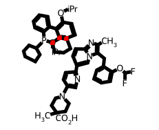 CC(C)Oc1cccc(OC(C)C)c1-c1ccccc1P(C1CCCCC1)C1CCCCC1.Cc1nc2ccc(-c3ccc(N4CCC(C)(C(=O)O)CC4)cn3)cn2c1Cc1ccccc1OC(F)F